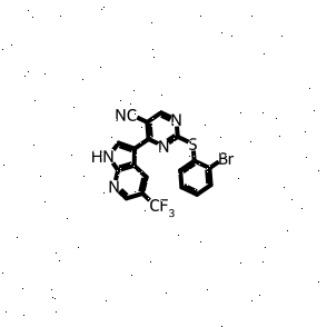 N#Cc1cnc(Sc2ccccc2Br)nc1-c1c[nH]c2ncc(C(F)(F)F)cc12